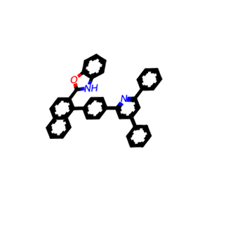 c1ccc(-c2cc(-c3ccccc3)nc(-c3ccc(-c4c(C5Nc6ccccc6O5)ccc5ccccc45)cc3)c2)cc1